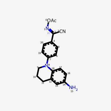 CC(=O)O/N=C(\C#N)c1ccc(N2CCCc3cc(N)ccc32)cc1